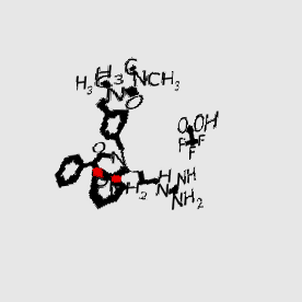 CN(C)C(=O)N(C)Cc1ccc(CN(C(=O)C(c2ccccc2)c2ccccc2)[C@H](CCCNC(=N)N)C(N)=O)cc1.O=C(O)C(F)(F)F